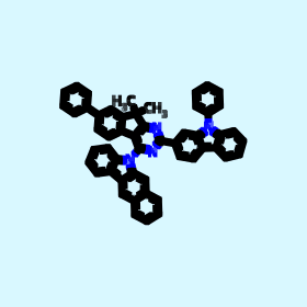 CC1(C)c2cc(-c3ccccc3)ccc2-c2c(-n3c4ccccc4c4cc5ccccc5cc43)nc(-c3ccc4c5ccccc5n(-c5ccccc5)c4c3)nc21